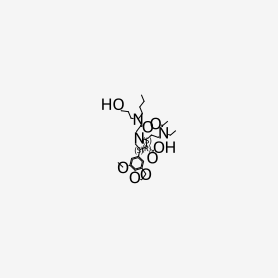 CCCCN(CCCO)C(=O)CN1C[C@H](c2cc(OC)c3c(c2)OCO3)[C@@H](C(=O)O)[C@@H]1CCN(CC)C(C)=O